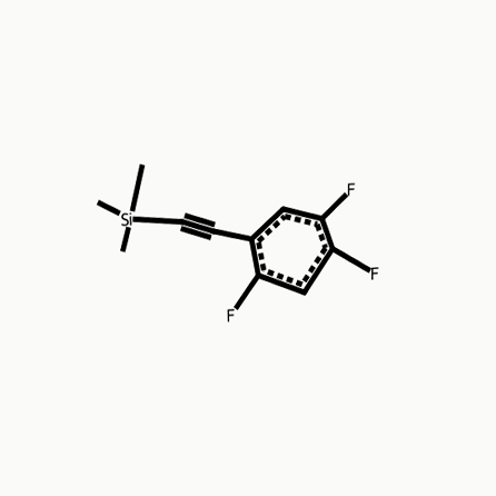 C[Si](C)(C)C#Cc1cc(F)c(F)cc1F